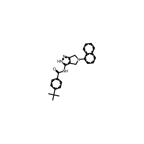 CC(C)(C)c1ccc(C(=O)Nc2[nH]nc3c2CN(c2cccc4ccccc24)C3)cc1